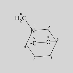 [CH2]N1CC2CCC1CC2